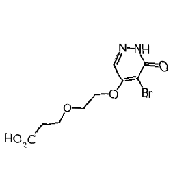 O=C(O)CCOCCOc1cn[nH]c(=O)c1Br